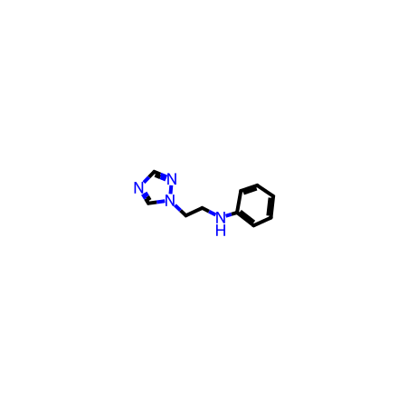 c1ccc(NCCn2cncn2)cc1